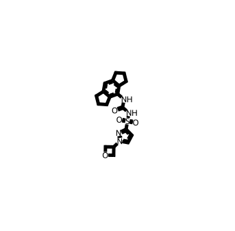 O=C(Nc1c2c(cc3c1CCC3)CCC2)NS(=O)(=O)c1ccn(C2COC2)n1